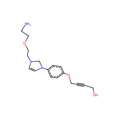 NCCOCCN1C=CN(c2ccc(OCC#CCO)cc2)C1